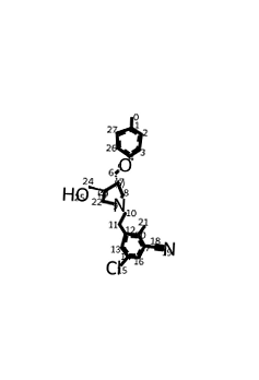 Cc1ccc(OC[C@@H]2CN(CCc3cc(Cl)cc(C#N)c3C)C[C@H]2CO)cc1